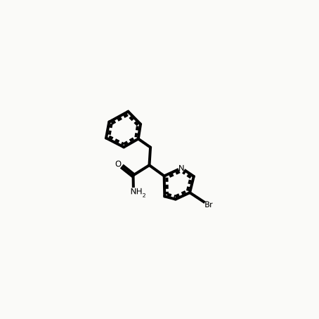 NC(=O)C(Cc1ccccc1)c1ccc(Br)cn1